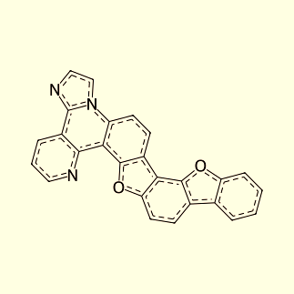 c1ccc2c(c1)oc1c2ccc2oc3c(ccc4c3c3ncccc3c3nccn43)c21